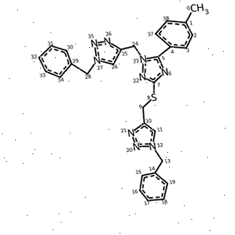 Cc1ccc(-c2nc(SCc3cn(Cc4ccccc4)nn3)nn2Cc2cn(Cc3ccccc3)nn2)cc1